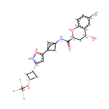 O=C(NC12CC(c3cc([C@H]4C[C@@H](OC(F)(F)F)C4)no3)(C1)C2)[C@@H]1C[C@@H](O)c2cc(Cl)ccc2O1